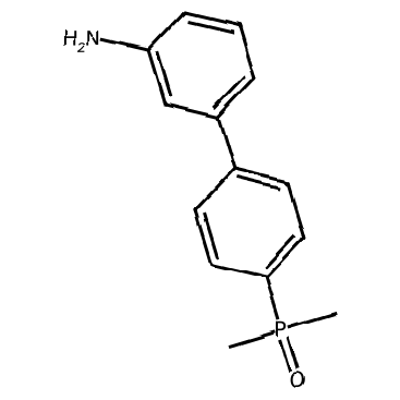 CP(C)(=O)c1ccc(-c2cccc(N)c2)cc1